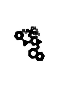 CC(C)(C)OC(=O)N(CC1(CN2CCCCc3ccccc32)CC1)[C@H]1C[C@@H]1c1ccccc1